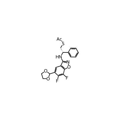 CC(=O)SC[C@@H](Nc1noc2c(F)c(F)c(C3OCCO3)cc12)c1ccccc1